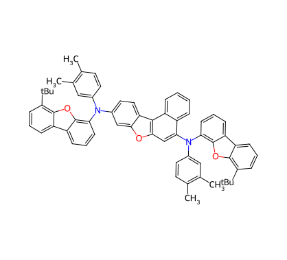 Cc1ccc(N(c2ccc3c(c2)oc2cc(N(c4ccc(C)c(C)c4)c4cccc5c4oc4c(C(C)(C)C)cccc45)c4ccccc4c23)c2cccc3c2oc2c(C(C)(C)C)cccc23)cc1C